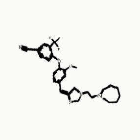 COc1cc(C=C2CN(CCN3CCCCCC3)CS2)ccc1Oc1ccc(C#N)cc1C(F)(F)F